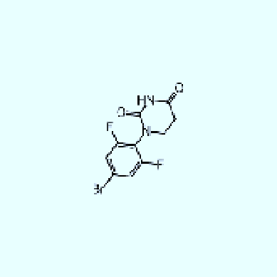 O=C1CCN(c2c(F)cc(Br)cc2F)C(=O)N1